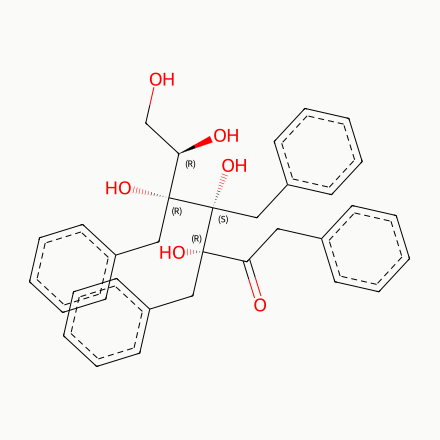 O=C(Cc1ccccc1)[C@@](O)(Cc1ccccc1)[C@](O)(Cc1ccccc1)[C@@](O)(Cc1ccccc1)[C@H](O)CO